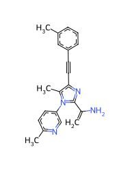 C=C(N)c1nc(C#Cc2cccc(C)c2)c(C)n1-c1ccc(C)nc1